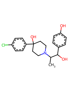 CC(C(O)c1ccc(O)cc1)N1CCC(O)(c2ccc(Cl)cc2)CC1